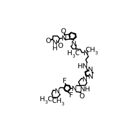 CN(CCCNc1cc(N2CCC3(CC2)CN(c2cc(F)c(CN4CCC(C)(C)CC4)cc2F)CC(=O)N3)ncn1)CC[C@@]1(C)CCN(c2cccc3c2CN(C2CCC(=O)NC2=O)C3=O)C1